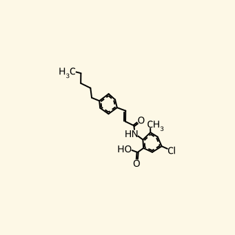 CCCCCc1ccc(/C=C/C(=O)Nc2c(C)cc(Cl)cc2C(=O)O)cc1